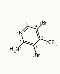 Nc1ncc(Br)c(C(F)(F)F)c1Br